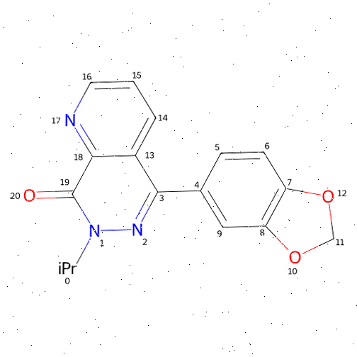 CC(C)n1nc(-c2ccc3c(c2)OCO3)c2cccnc2c1=O